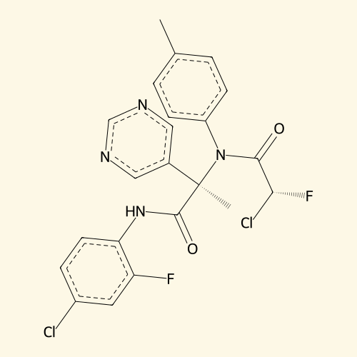 Cc1ccc(N(C(=O)[C@H](F)Cl)[C@@](C)(C(=O)Nc2ccc(Cl)cc2F)c2cncnc2)cc1